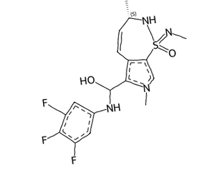 CN=S1(=O)N[C@@H](C(C)C)C=Cc2c1cn(C)c2C(O)Nc1cc(F)c(F)c(F)c1